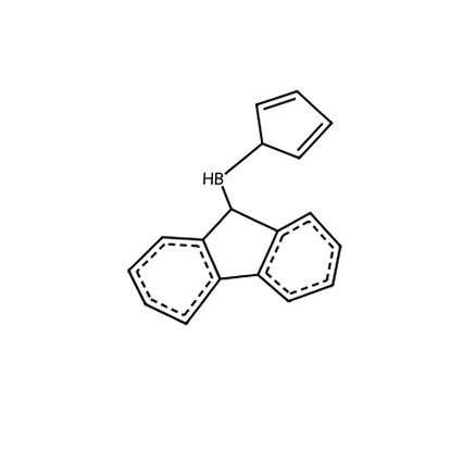 B(C1C=CC=C1)C1c2ccccc2-c2ccccc21